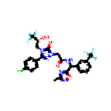 Cc1noc(C(NC(=O)Cn2nc(-c3ccc(Cl)cc3)n(C[C@H](O)C(F)(F)F)c2=O)c2cccc(C(F)(F)F)c2)n1